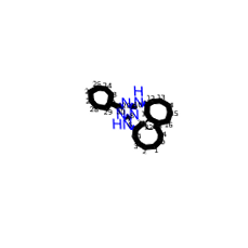 C1CCCCC(Nc2nc(NC3CCCCCCCC3)nc(C3CCCCCCC3)n2)CCCC1